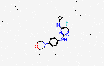 Fc1cnc(Nc2ccc(N3CCOCC3)cc2)nc1NC1CC1